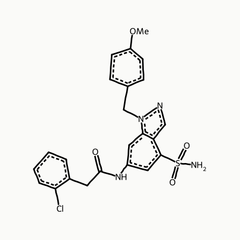 COc1ccc(Cn2ncc3c(S(N)(=O)=O)cc(NC(=O)Cc4ccccc4Cl)cc32)cc1